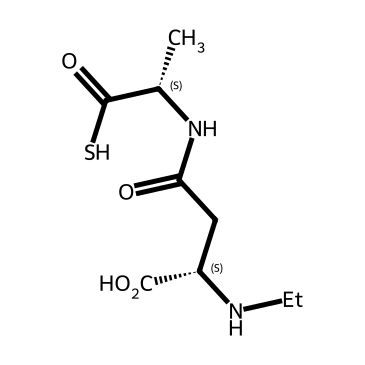 CCN[C@@H](CC(=O)N[C@@H](C)C(=O)S)C(=O)O